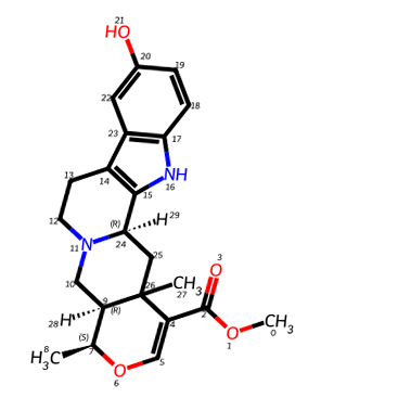 COC(=O)C1=CO[C@@H](C)[C@H]2CN3CCc4c([nH]c5ccc(O)cc45)[C@H]3CC12C